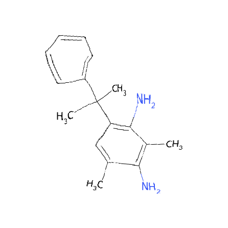 Cc1cc(C(C)(C)c2ccccc2)c(N)c(C)c1N